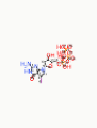 Nc1nc2c(c(I)cn2[C@H]2C[C@@H](O)[C@@H](COP(=O)(O)OP(=O)(O)OP(=O)(O)O)O2)c(=O)[nH]1